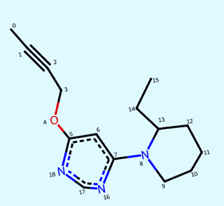 CC#CCOc1cc(N2CCCCC2CC)ncn1